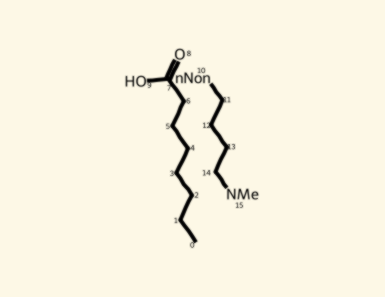 CCCCCCCC(=O)O.CCCCCCCCCCCCCNC